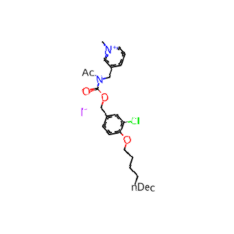 CCCCCCCCCCCCCCOc1ccc(COC(=O)N(Cc2ccc[n+](C)c2)C(C)=O)cc1Cl.[I-]